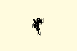 CCCNC(=O)/C(=C\Nc1ccc(C#N)cc1)C(=O)c1ccccc1Cl